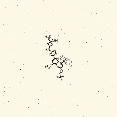 CC[C@]1(O)C[C@@H](Nc2nnc(-c3cc(C)c4cc(OCC(F)(F)F)cc(C(C)(C)C)c4n3)o2)C1